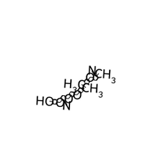 Cc1cccc(Oc2ccc(C(C)(C)c3ccc(Oc4cccc(Oc5cccc(Oc6ccc(O)cc6)c5C#N)c4)cc3)cc2)c1C#N